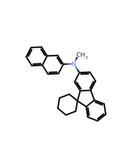 CN(c1ccc2c(c1)C1(CCCCC1)c1ccccc1-2)c1ccc2ccccc2c1